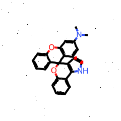 CN(C)c1ccc2c(c1)Oc1ccccc1C21Oc2ccccc2-c2[nH]c3ccccc3c21